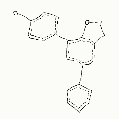 Clc1ccc(-c2cc(-c3ccccc3)cc3c2O[C]C3)cc1